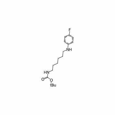 CC(C)(C)OC(=O)NCCCCCCNc1ccc(F)cc1